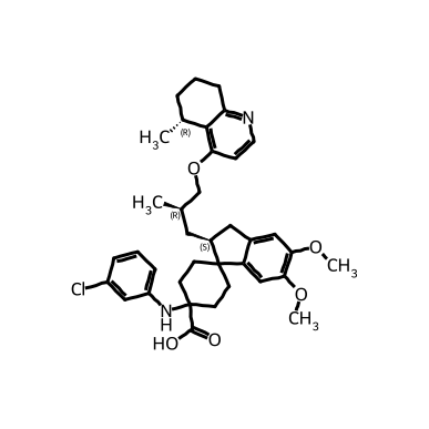 COc1cc2c(cc1OC)C1(CCC(Nc3cccc(Cl)c3)(C(=O)O)CC1)[C@@H](C[C@@H](C)COc1ccnc3c1[C@H](C)CCC3)C2